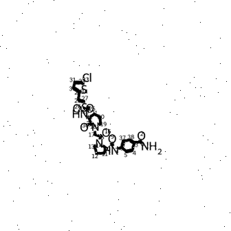 NC(=O)c1ccc(NC(=O)[C@@H]2CCCN2C(=O)CN2CCC[C@H](NS(=O)(=O)/C=C/c3ccc(Cl)s3)C2=O)cc1